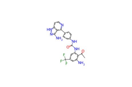 CC(=O)c1c(N)cc(C(F)(F)F)cc1NC(=O)Nc1ccc(-c2nccc3[nH]nc(N)c23)cc1